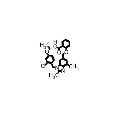 CCOc1ccc(Cn2c(C)nc3c(C)cc(COc4ccccc4C(=O)O)cc32)c(Cl)c1